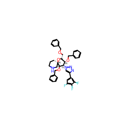 Fc1cc(-c2cn([C@H]3[C@@H](OCc4ccccc4)[C@@H](COCc4ccccc4)O[C@@]4(CCCNC4)[C@@H]3OCc3ccccc3)nn2)cc(F)c1F